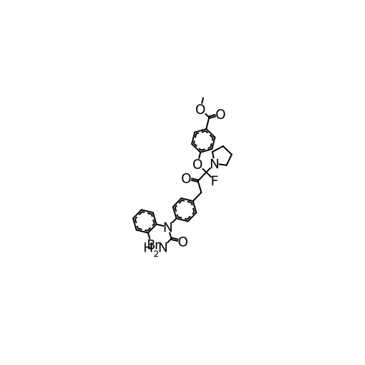 COC(=O)c1ccc(OC(F)(C(=O)Cc2ccc(N(C(N)=O)c3ccccc3Br)cc2)N2CCCC2)cc1